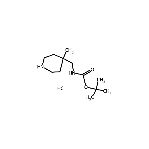 CC1(CNC(=O)OC(C)(C)C)CCNCC1.Cl